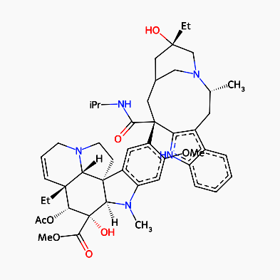 CC[C@]1(O)CC2CN(C1)[C@H](C)Cc1c([nH]c3ccccc13)[C@@](C(=O)NC(C)C)(c1cc3c(cc1OC)N(C)[C@H]1[C@@](O)(C(=O)OC)[C@H](OC(C)=O)[C@]4(CC)C=CCN5CC[C@]31[C@@H]54)C2